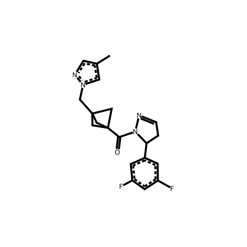 Cc1cnn(CC23CC(C(=O)N4N=CCC4c4cc(F)cc(F)c4)(C2)C3)c1